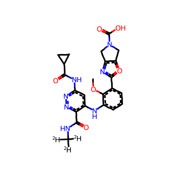 [2H]C([2H])([2H])NC(=O)c1nnc(NC(=O)C2CC2)cc1Nc1cccc(-c2nc3c(o2)CN(C(=O)O)C3)c1OC